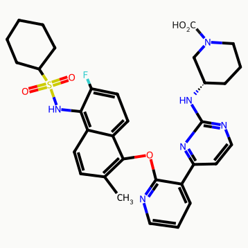 Cc1ccc2c(NS(=O)(=O)C3CCCCC3)c(F)ccc2c1Oc1ncccc1-c1ccnc(N[C@H]2CCCN(C(=O)O)C2)n1